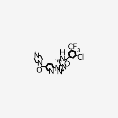 C[C@H](NC(=O)c1cc(Cl)cc(C(F)(F)F)c1)c1ncnn1-c1ccc(C(=O)N2CCN(C)CC2)cn1